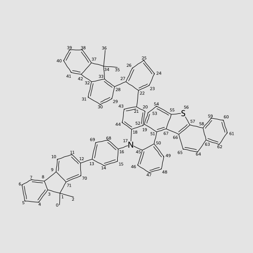 CC1(C)c2ccccc2-c2ccc(-c3ccc(N(c4ccc(-c5ccccc5-c5cccc6c5C(C)(C)c5ccccc5-6)cc4)c4ccccc4-c4cccc5sc6c7ccccc7ccc6c45)cc3)cc21